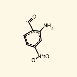 Nc1cc([N+](=O)[O-])ccc1[C]=O